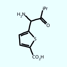 CC(C)C(=O)C(N)c1ccc(C(=O)O)s1